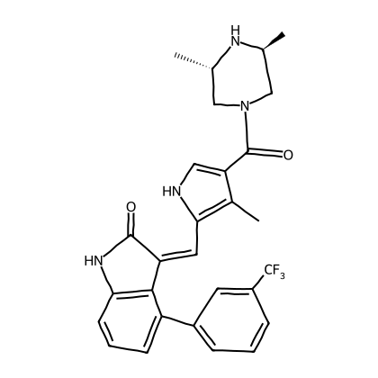 Cc1c(C(=O)N2C[C@H](C)N[C@@H](C)C2)c[nH]c1/C=C1\C(=O)Nc2cccc(-c3cccc(C(F)(F)F)c3)c21